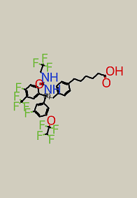 O=C(O)CCCCCc1ccc(C[C@](NC(=O)NCC(F)(F)F)(c2cc(F)cc(OC(F)(F)C(F)F)c2)c2ccc(F)c(C(F)(F)F)c2)cc1